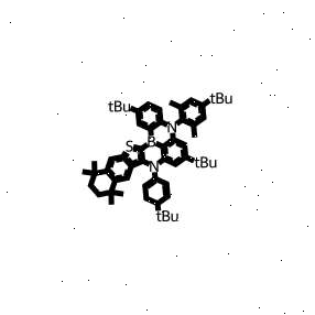 Cc1cc(C(C)(C)C)cc(C)c1N1c2ccc(C(C)(C)C)cc2B2c3sc4cc5c(cc4c3N(C3=CCC(C(C)(C)C)C=C3)c3cc(C(C)(C)C)cc1c32)C(C)(C)CCC5(C)C